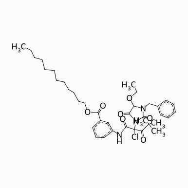 CCCCCCCCCCCCOC(=O)c1cccc(NC(=O)C(Cl)(C(=O)C(C)(C)C)N2C(=O)C(OCC)N(Cc3ccccc3)C2=O)c1